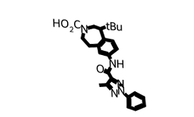 Cc1nn(-c2ccccc2)nc1C(=O)Nc1ccc2c(c1)CCN(C(=O)O)CC2C(C)(C)C